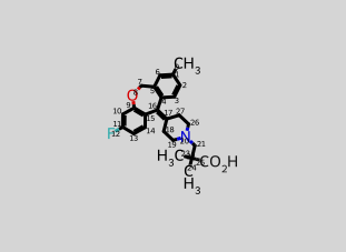 Cc1ccc2c(c1)COc1cc(F)ccc1C2=C1CCN(CC(C)(C)C(=O)O)CC1